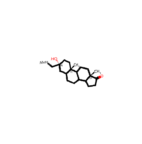 CNC[C@@]1(O)CC[C@@]2(C)C(CCC3C2CC[C@]2(C)C(=O)CCC32)C1